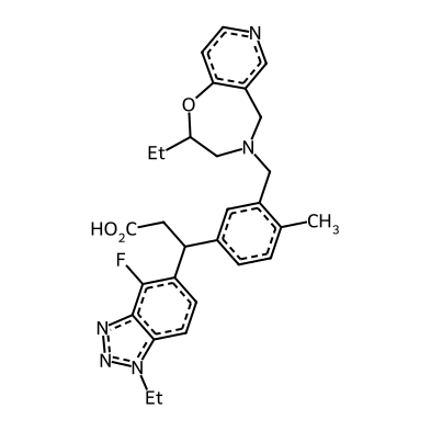 CCC1CN(Cc2cc(C(CC(=O)O)c3ccc4c(nnn4CC)c3F)ccc2C)Cc2cnccc2O1